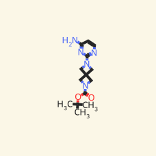 CC(C)(C)OC(=O)N1CC2(C1)CN(c1nccc(N)n1)C2